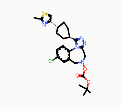 Cc1nc([C@H]2CC[C@H](c3nnc4n3-c3ccc(Cl)cc3CN(OC(=O)OC(C)(C)C)C4)CC2)cs1